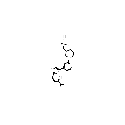 CS(=N)(=O)CC1CCCN(c2cc(-c3cnc4ccc(C(F)F)nn34)ccn2)C1